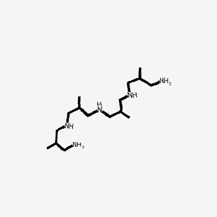 CC(CN)CNCC(C)CNCC(C)CNCC(C)CN